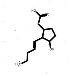 CCCC=CC1C(O)CCC1CC(=O)O